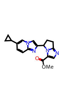 COC(=O)c1cnc2n1C(c1cn3cc(C4CC4)ccc3n1)CC2